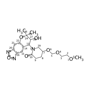 COCCOCOC1CCC(=O)N(C2c3cc4nonc4cc3OC(C)(C)C2O)C1